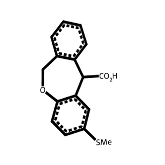 CSc1ccc2c(c1)C(C(=O)O)c1ccccc1CO2